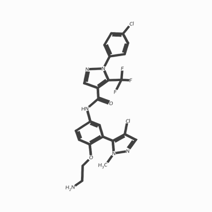 Cn1ncc(Cl)c1-c1cc(NC(=O)c2cnn(-c3ccc(Cl)cc3)c2C(F)(F)F)ccc1OCCN